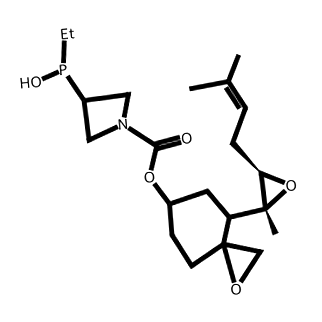 CCP(O)C1CN(C(=O)OC2CCC3(CO3)C([C@@]3(C)O[C@@H]3CC=C(C)C)C2)C1